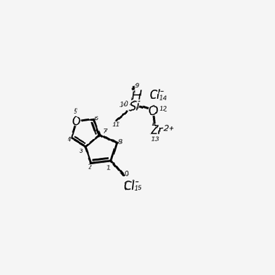 CC1=Cc2cocc2C1.C[SiH](C)[O][Zr+2].[Cl-].[Cl-]